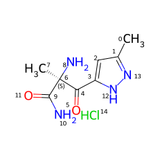 Cc1cc(C(=O)[C@](C)(N)C(N)=O)[nH]n1.Cl